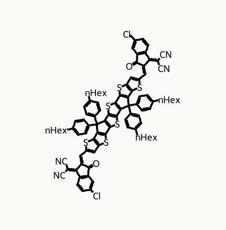 CCCCCCc1ccc(C2(c3ccc(CCCCCC)cc3)c3c(sc4cc(/C=C5\C(=O)c6cc(Cl)ccc6C5=C(C#N)C#N)sc34)-c3sc4c5c(sc4c32)-c2sc3cc(/C=C4\C(=O)c6cc(Cl)ccc6C4=C(C#N)C#N)sc3c2C5(c2ccc(CCCCCC)cc2)c2ccc(CCCCCC)cc2)cc1